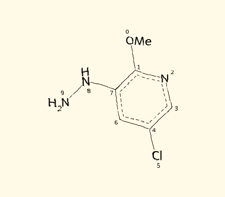 COc1ncc(Cl)cc1NN